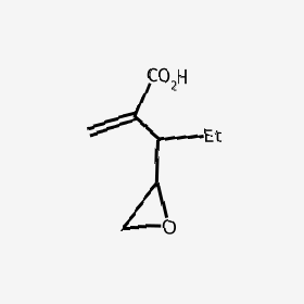 C=C(C(=O)O)C(CC)C1CO1